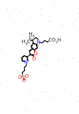 CC1(C)CCN(CCCC(=O)O)c2cc3oc(=O)c(-c4ccc[n+](CCCCS(=O)(=O)[O-])c4)cc3cc21